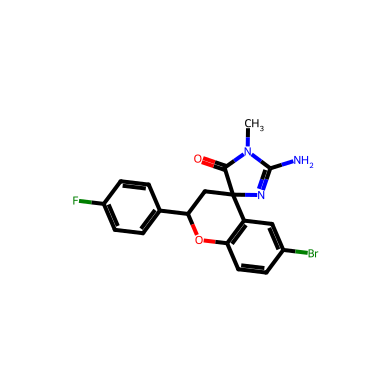 CN1C(=O)C2(CC(c3ccc(F)cc3)Oc3ccc(Br)cc32)N=C1N